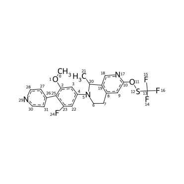 COc1cc(N2CCc3cc(OSC(F)(F)F)ncc3C2C)cc(F)c1-c1ccncc1